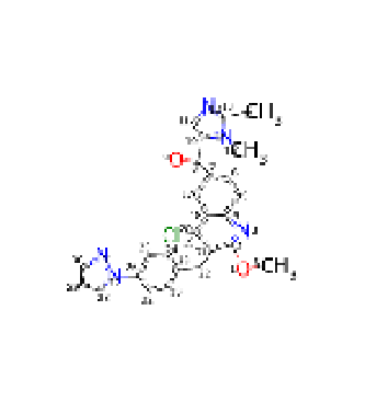 COc1nc2ccc(C(=O)c3cnc(C)n3C)cc2c(Cl)c1Cc1ccc(-n2cccn2)cc1